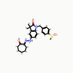 C[S+]([O-])c1ccc(CN2C(=O)C(C)(C)c3cc(N/N=C4\CCCCCC4=O)ccc32)cc1